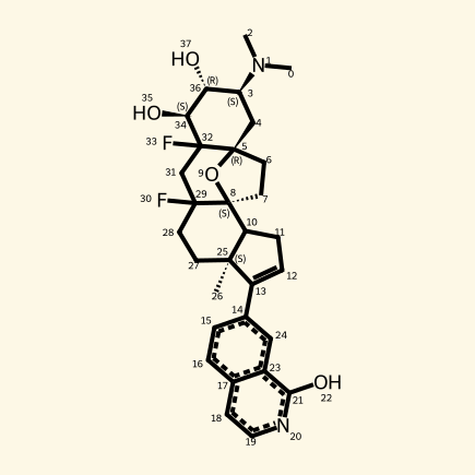 CN(C)[C@H]1C[C@@]23CC[C@]4(O2)C2CC=C(c5ccc6ccnc(O)c6c5)[C@@]2(C)CCC4(F)CC3(F)[C@@H](O)[C@@H]1O